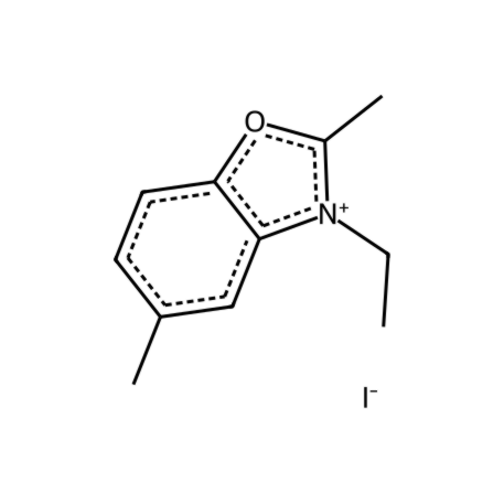 CC[n+]1c(C)oc2ccc(C)cc21.[I-]